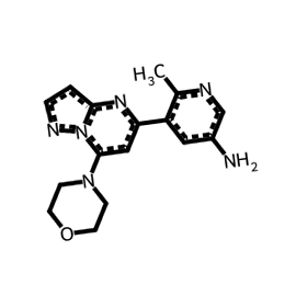 Cc1ncc(N)cc1-c1cc(N2CCOCC2)n2nccc2n1